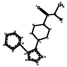 CC(Br)C(=O)C1CCN(c2nnnn2-c2ccccc2)CC1